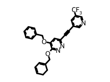 FC(F)(F)c1cncc(C#Cc2cc(OCc3ccccc3)c(OCC3=CC=CCC3)nn2)c1